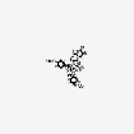 COc1ccc(OSP(=O)(OC[C@@]2(C(F)F)O[C@@H](n3cc(Cl)c(=O)[nH]c3=O)[C@H](F)[C@@H]2O)Oc2ccc(OC)cc2)cc1